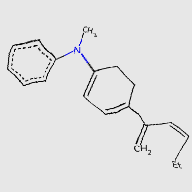 C=C(/C=C\CC)C1=CC=C(N(C)c2ccccc2)CC1